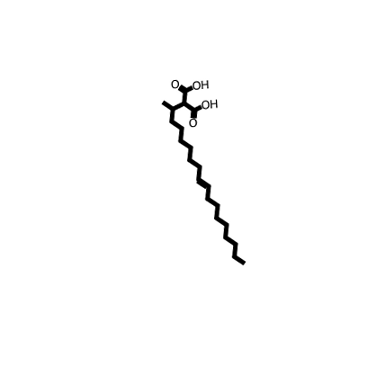 CCCCCCCCC=CCCCCCCC(C)C(C(=O)O)C(=O)O